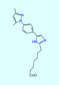 Cc1cc(C)n(-c2ccc(-c3cnc(CCCCCCC=O)[nH]3)cc2)n1